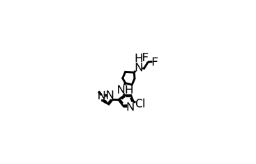 Cn1ccc(-c2cnc(Cl)cc2NC2CCC(NCC(F)F)CC2)n1